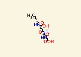 CCCCCCN[C@@H](CCC(=O)N[C@@H](CS)C(=O)NCC(=O)O)C(=O)O